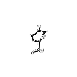 CC(C)Nc1ccc(Cl)cn1